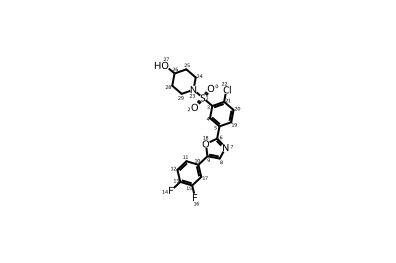 O=S(=O)(c1cc(-c2ncc(-c3ccc(F)c(F)c3)o2)ccc1Cl)N1CCC(O)CC1